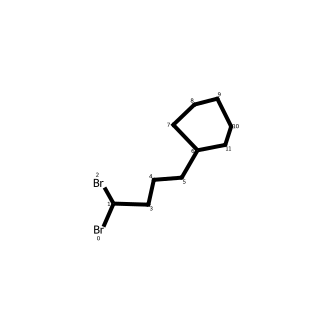 BrC(Br)CCCC1CCCCC1